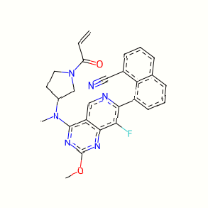 C=CC(=O)N1CCC(N(C)c2nc(OC)nc3c(F)c(-c4cccc5cccc(C#N)c45)ncc23)C1